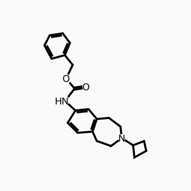 O=C(Nc1ccc2c(c1)CCN(C1CCC1)CC2)OCc1ccccc1